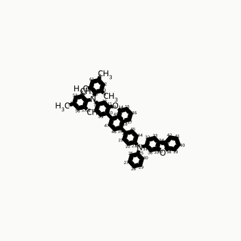 Cc1cc(C)c(N(c2ccc3c(c2)Oc2cccc4c(-c5ccc(N(c6ccccc6)c6ccc7c(c6)oc6ccccc67)cc5)ccc-3c24)c2c(C)cc(C)cc2C)c(C)c1